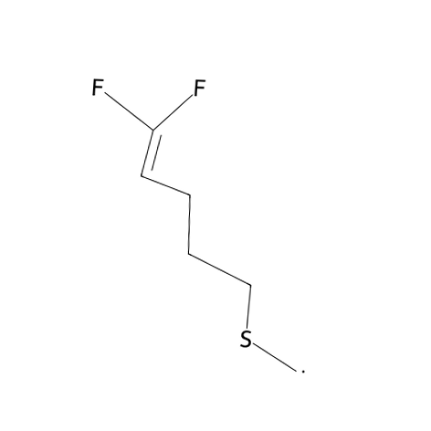 [CH2]SCCCC=C(F)F